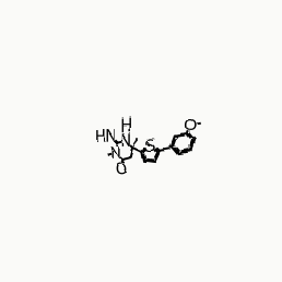 COc1cccc(-c2ccc([C@]3(C)CC(=O)N(C)C(=N)N3)s2)c1